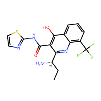 CC[C@H](N)c1nc2c(C(F)(F)F)cccc2c(O)c1C(=O)Nc1nccs1